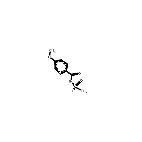 COc1ccc(C(=O)NS(C)(=O)=O)nc1